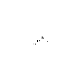 [B].[Co].[Fe].[Ta]